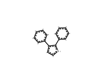 [c]1ccc(-c2sccc2-c2ccccc2)cc1